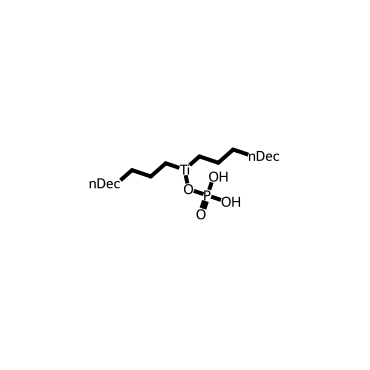 CCCCCCCCCCCC[CH2][Ti]([CH2]CCCCCCCCCCCC)[O]P(=O)(O)O